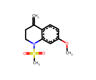 C=C1CCN(S(C)(=O)=O)c2cc(OC)ccc21